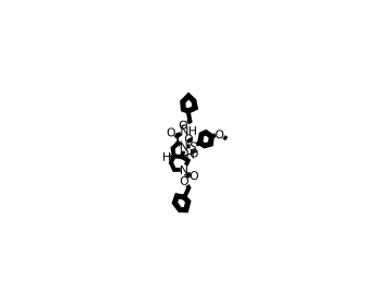 COc1ccc(S(=O)(=O)N2[C@H](C(=O)NOCc3ccccc3)C[C@@H]3CCN(C(=O)OCc4ccccc4)C[C@@H]32)cc1